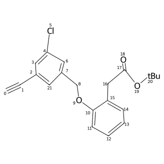 C#Cc1cc(Cl)cc(COc2ccccc2CC(=O)OC(C)(C)C)c1